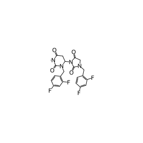 O=C1CC(N2C(=O)CN(Cc3ccc(F)cc3F)C2=O)N(Cc2ccc(F)cc2F)C(=O)[N]1